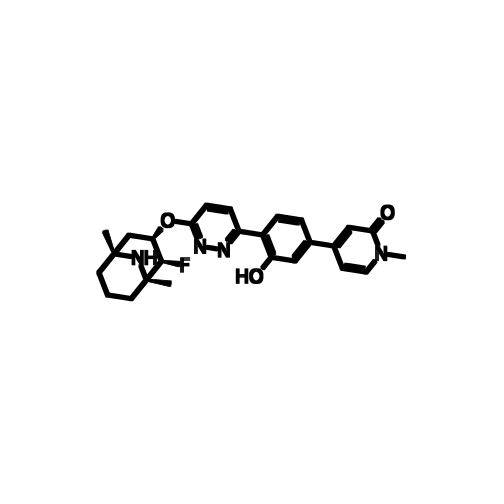 Cn1ccc(-c2ccc(-c3ccc(O[C@@H]4C[C@@]5(C)CCC[C@](C)(N5)[C@@H]4F)nn3)c(O)c2)cc1=O